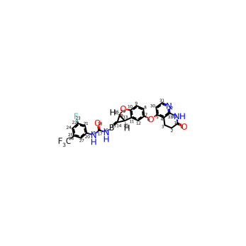 O=C1CCc2c(Oc3ccc4c(c3)[C@H]3/C(=B\NC(=O)Nc5cc(F)cc(C(F)(F)F)c5)[C@H]3O4)ccnc2N1